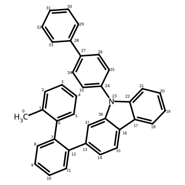 Cc1ccccc1-c1ccccc1-c1ccc2c3ccccc3n(-c3ccc(-c4ccccc4)cc3)c2c1